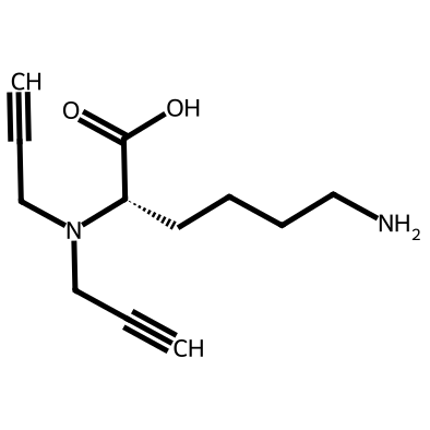 C#CCN(CC#C)[C@@H](CCCCN)C(=O)O